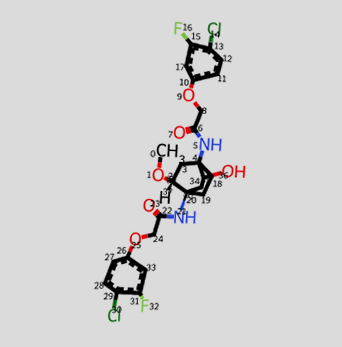 CO[C@@H]1CC2(NC(=O)COc3ccc(Cl)c(F)c3)CC[C@@]1(NC(=O)COc1ccc(Cl)c(F)c1)CC2O